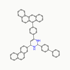 C1=C(c2ccc(-c3c4ccccc4cc4c3ccc3ccccc34)cc2)NC(c2ccc(-c3ccccc3)cc2)NC1c1ccc2c(ccc3ccccc32)c1